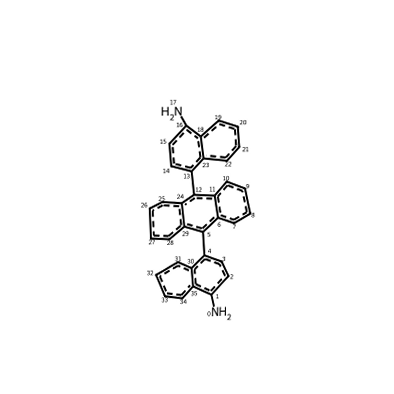 Nc1ccc(-c2c3ccccc3c(-c3ccc(N)c4ccccc34)c3ccccc23)c2ccccc12